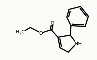 CCOC(=O)C1=CCNC1c1ccccc1